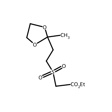 CCOC(=O)CS(=O)(=O)CCC1(C)OCCO1